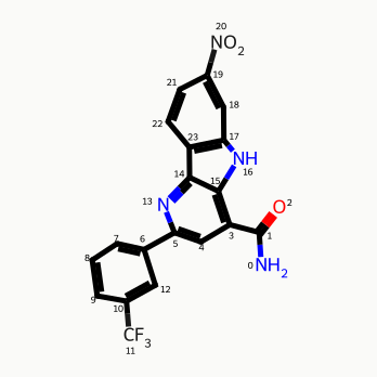 NC(=O)c1cc(-c2cccc(C(F)(F)F)c2)nc2c1[nH]c1cc([N+](=O)[O-])ccc12